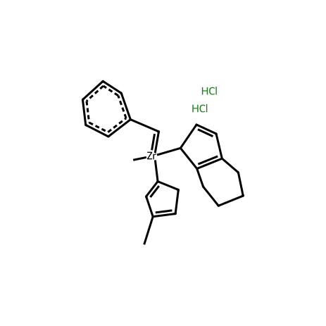 CC1=CC[C]([Zr]([CH3])(=[CH]c2ccccc2)[CH]2C=CC3=C2CCCC3)=C1.Cl.Cl